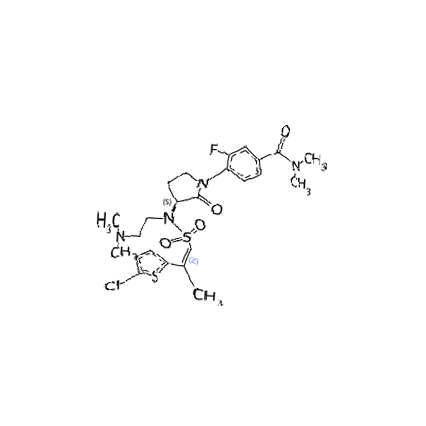 C/C(=C/S(=O)(=O)N(CCN(C)C)[C@H]1CCN(c2ccc(C(=O)N(C)C)cc2F)C1=O)c1ccc(Cl)s1